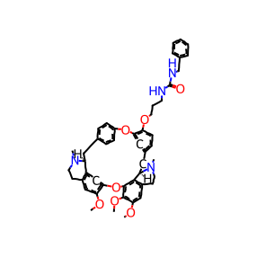 COc1cc2c3cc1Oc1c(OC)c(OC)cc4c1[C@@H](Cc1ccc(OCCCNC(=O)NCc5ccccc5)c(c1)Oc1ccc(cc1)C[C@@H]3N(C)CC2)N(C)CC4